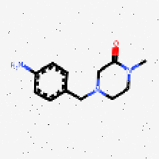 CN1CCN(Cc2ccc(N)cc2)CC1=O